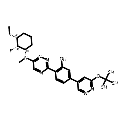 CC[C@@H]1CCC[C@H](N(C)c2cnc(-c3ccc(-c4cnnc(OC(S)(S)S)c4)cc3O)nn2)[C@@H]1F